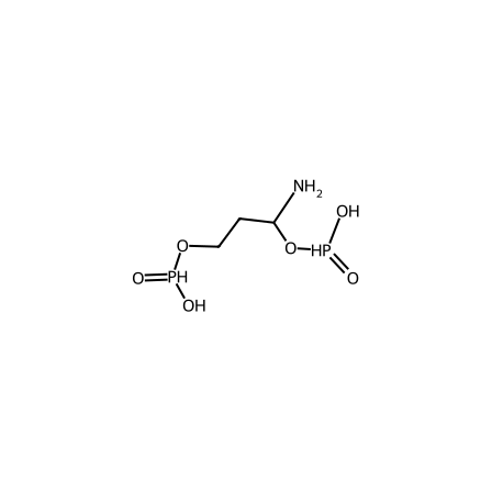 NC(CCO[PH](=O)O)O[PH](=O)O